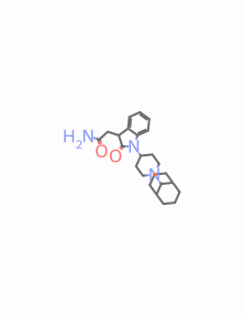 NC(=O)CC1C(=O)N(C2CCN(C3C4CCCC3CCC4)CC2)c2ccccc21